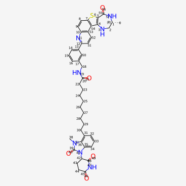 C[C@@H]1CNc2c(sc3ccc4nc(-c5cccc(CNC(=O)CCCCCCCCCc6cccc7c6n(C)c(=O)n7C6CCC(=O)NC6=O)c5)ccc4c23)C(=O)N1